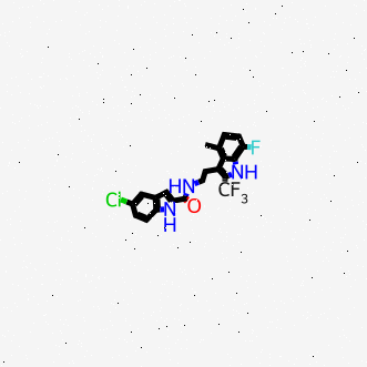 Cc1ccc(F)c2[nH]c(C(F)(F)F)c(CCNC(=O)c3cc4cc(Cl)ccc4[nH]3)c12